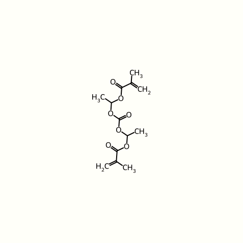 C=C(C)C(=O)OC(C)OC(=O)OC(C)OC(=O)C(=C)C